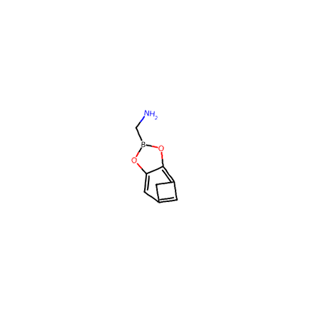 NCB1Oc2cc3cc(c2O1)C3